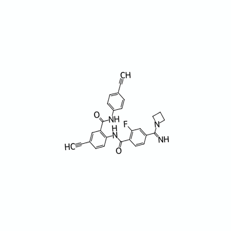 C#Cc1ccc(NC(=O)c2cc(C#C)ccc2NC(=O)c2ccc(C(=N)N3CCC3)cc2F)cc1